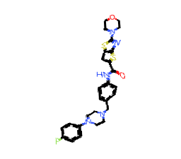 O=C(Nc1ccc(CN2CCN(c3ccc(F)cc3)CC2)cc1)c1cc2sc(N3CCOCC3)nc2s1